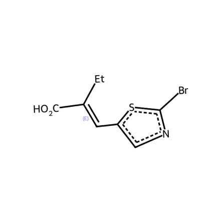 CC/C(=C\c1cnc(Br)s1)C(=O)O